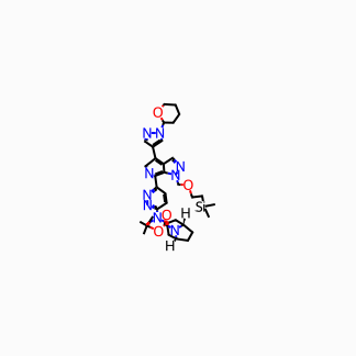 CN(c1ccc(-c2ncc(-c3cnn(C4CCCCO4)c3)c3cnn(COCC[Si](C)(C)C)c23)nn1)C1C[C@H]2CC[C@@H](C1)N2C(=O)OC(C)(C)C